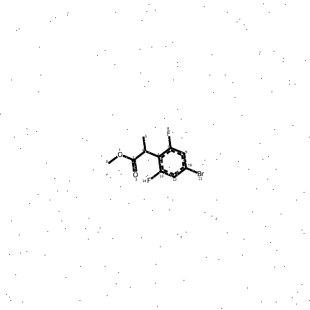 COC(=O)C(C)c1c(F)cc(Br)cc1F